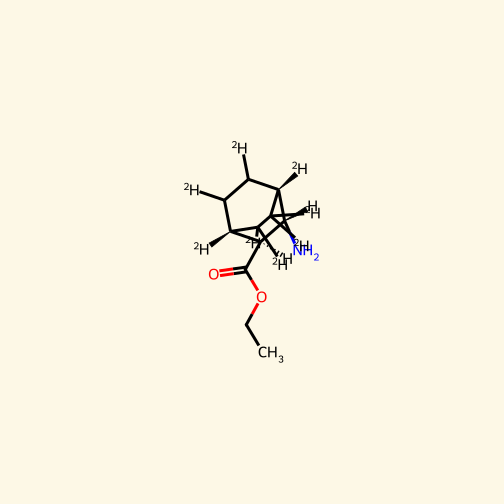 [2H]C1C([2H])[C@]2([2H])[C@H](N)[C@@H](C(=O)OCC)[C@@]1([2H])C([2H])([2H])C2([2H])[2H]